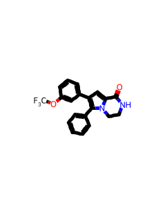 O=C1NCCn2c1cc(-c1cccc(OC(F)(F)F)c1)c2-c1ccccc1